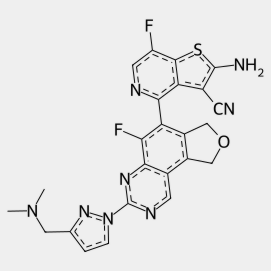 CN(C)Cc1ccn(-c2ncc3c4c(c(-c5ncc(F)c6sc(N)c(C#N)c56)c(F)c3n2)COC4)n1